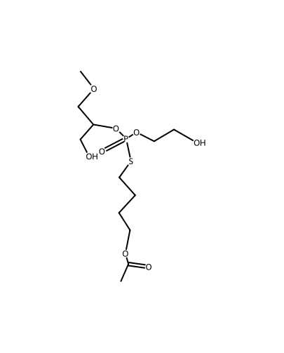 COCC(CO)OP(=O)(OCCO)SCCCCOC(C)=O